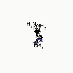 C/C=c1/ccn(Cc2cc(N=C(N)N)no2)/c1=C/C=N/C